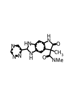 CNC(=O)C1(C)C(=O)Nc2cc3c(cc21)NC(c1cncnn1)N3